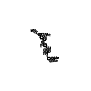 COc1ccc(CCNC(=O)C(=O)Nc2ccc(Oc3ccnc4c(OC)c(OCC5CCNCC5)ccc34)c(F)c2)cc1OC